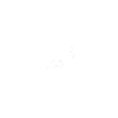 CC(C)(C)c1ccc2c(cnn2CCCN2C(=O)CCCC2=O)c1